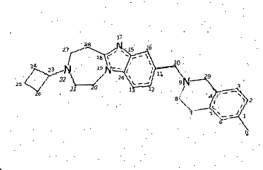 Cc1ccc2c(c1)CCN(Cc1ccc3c(c1)nc1n3CCN(C3CCC3)CC1)C2